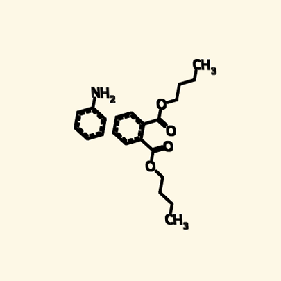 CCCCOC(=O)c1ccccc1C(=O)OCCCC.Nc1ccccc1